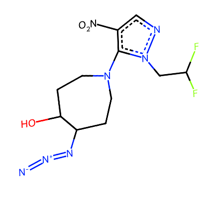 [N-]=[N+]=NC1CCN(c2c([N+](=O)[O-])cnn2CC(F)F)CCC1O